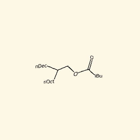 CCCCCCCCCCC(CCCCCCCC)COC(=O)C(C)CC